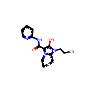 N#CCCn1c(O)c(C(=O)Nc2ccccn2)[n+]2ccccc12